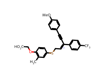 COc1ccc(C#C/C(=C\CSc2ccc(OCC(=O)O)c(C)c2)c2ccc(C(F)(F)F)cc2)cc1